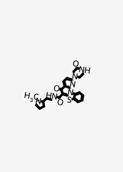 CN1CCCC1CCNC(=O)c1c(=O)c2ccc(N3CCNC(=O)C3)nc2n2c1sc1ccccc12